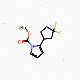 CC(C)(C)OC(=O)n1cccc1C1CCC(F)(F)C1